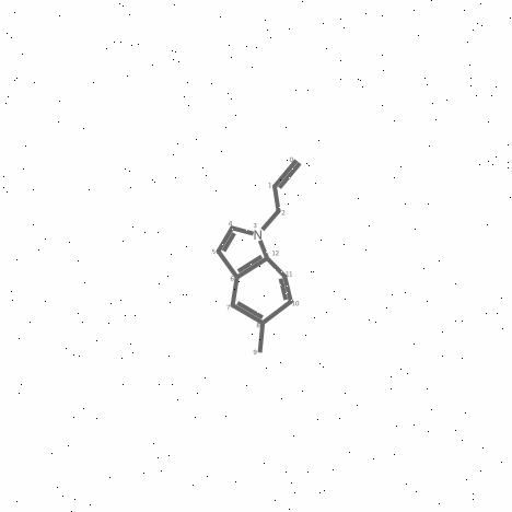 C=CCn1ccc2cc(C)ccc21